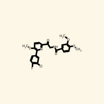 COc1ccc(C(=O)NCC(=O)c2ccc(OC)c(-c3ccc(F)c(Cl)c3)n2)cc1OC